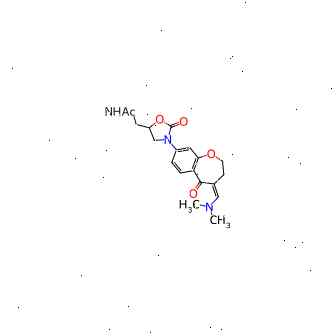 CC(=O)NCC1CN(c2ccc3c(c2)OCCC(=CN(C)C)C3=O)C(=O)O1